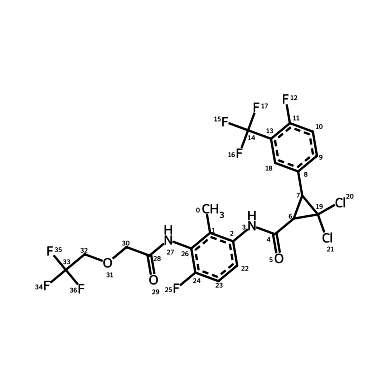 Cc1c(NC(=O)C2C(c3ccc(F)c(C(F)(F)F)c3)C2(Cl)Cl)ccc(F)c1NC(=O)COCC(F)(F)F